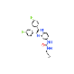 O=C(NCC1CC1)Nc1ccc2nc(-c3ccc(F)cc3)c(-c3ccc(F)cc3)nc2c1